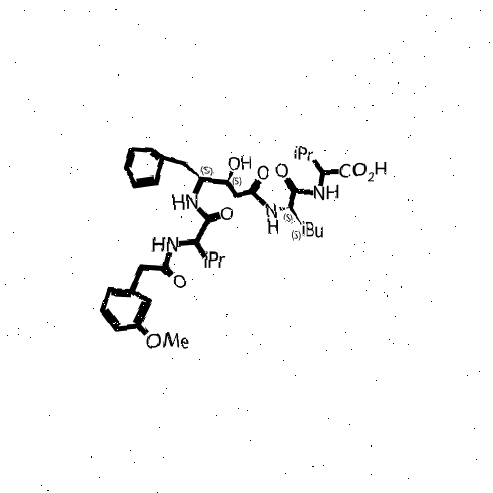 CC[C@H](C)[C@H](NC(=O)C[C@H](O)[C@H](Cc1ccccc1)NC(=O)C(NC(=O)Cc1cccc(OC)c1)C(C)C)C(=O)NC(C(=O)O)C(C)C